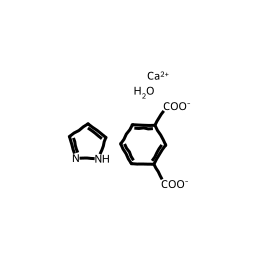 O.O=C([O-])c1cccc(C(=O)[O-])c1.[Ca+2].c1cn[nH]c1